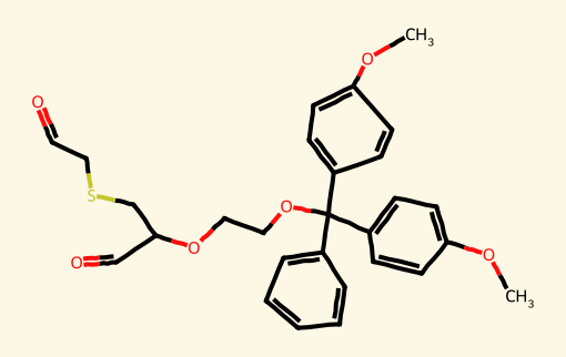 COc1ccc(C(OCCOC(C=O)CSCC=O)(c2ccccc2)c2ccc(OC)cc2)cc1